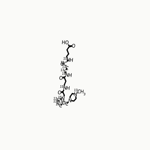 [13CH3]N1CCN([13CH2][13CH]2[13CH2][13CH2][13CH2][15N]2CC(=O)[15NH]CCC(=O)[15NH][13CH2][13CH2][13C](=O)[15NH]CCCC(=O)O)CC1